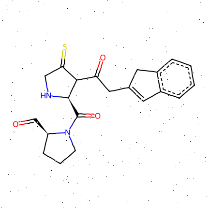 O=C[C@@H]1CCCN1C(=O)[C@H]1NCC(=S)C1C(=O)CC1=Cc2ccccc2C1